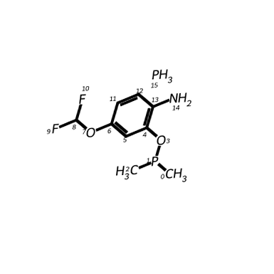 CP(C)Oc1cc(OC(F)F)ccc1N.P